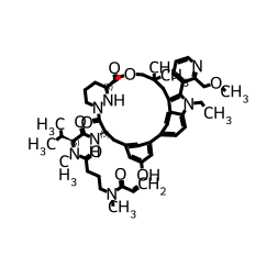 C=CC(=O)N(C)CCCC(=O)N(C)[C@H](C(=O)N[C@H]1Cc2cc(O)cc(c2)-c2ccc3c(c2)c(c(-c2cccnc2COC)n3CC)CC(C)(C)COC[C@@]2(C=O)CCCN(N2)C1=O)C(C)C